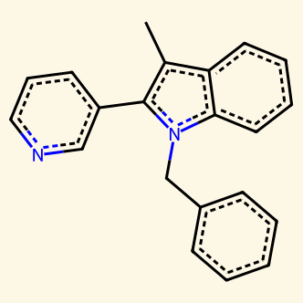 Cc1c(-c2cccnc2)n(Cc2ccccc2)c2ccccc12